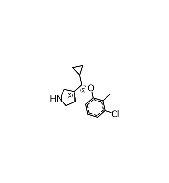 Cc1c(Cl)cccc1O[C@@H](C1CC1)[C@H]1CCNC1